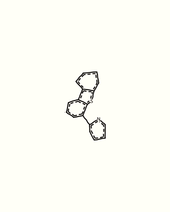 [c]1cc(-c2ccccn2)c2sc3ccccc3c2c1